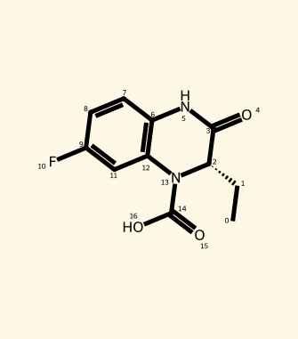 CC[C@H]1C(=O)Nc2ccc(F)cc2N1C(=O)O